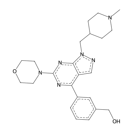 CN1CCC(Cn2ncc3c(-c4cccc(CO)c4)nc(N4CCOCC4)nc32)CC1